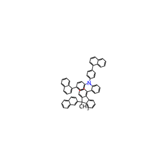 CC1(c2ccc3ccccc3c2)c2ccccc2-c2c(-c3ccccc3N(c3ccc(-c4cccc5ccccc45)cc3)c3ccc(-c4cccc5ccccc45)cc3)cccc21